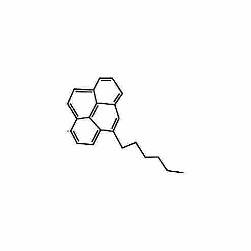 CCCCCCc1cc2cccc3ccc4[c]ccc1c4c32